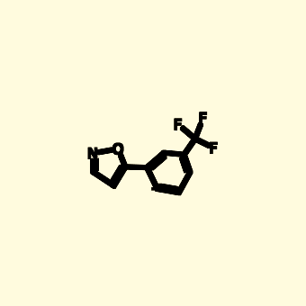 FC(F)(F)c1cc[c]c(-c2ccno2)c1